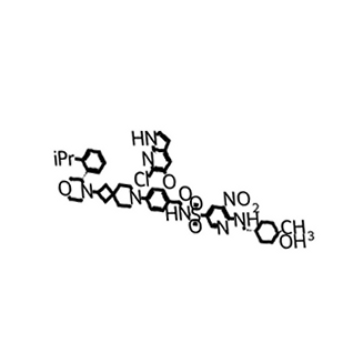 CC(C)c1ccccc1[C@H]1COCCN1C1CC2(CCN(c3ccc(C(=O)NS(=O)(=O)c4cnc(NC[C@H]5CC[C@](C)(O)CC5)c([N+](=O)[O-])c4)c(Oc4cc5cc[nH]c5nc4Cl)c3)CC2)C1